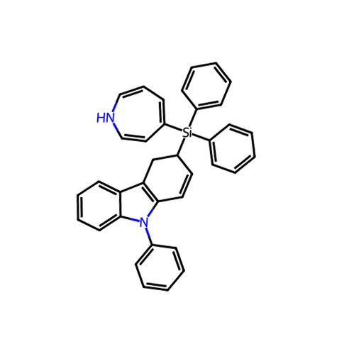 C1=CNC=CC([Si](c2ccccc2)(c2ccccc2)C2C=Cc3c(c4ccccc4n3-c3ccccc3)C2)=C1